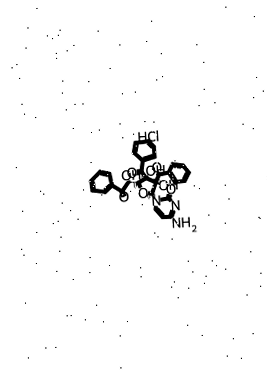 Cl.Nc1ccn([C@@H]2O[C@H](C(O)C(=O)c3ccccc3)[C@](O)(C(=O)c3ccccc3)[C@]2(O)C(=O)c2ccccc2)c(=O)n1